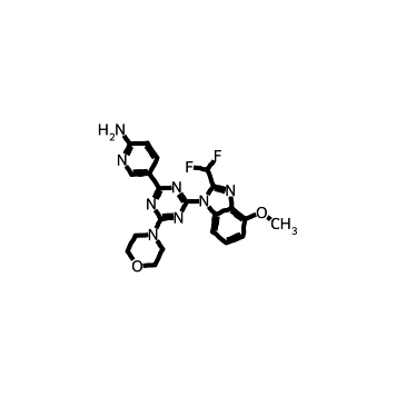 COc1cccc2c1nc(C(F)F)n2-c1nc(-c2ccc(N)nc2)nc(N2CCOCC2)n1